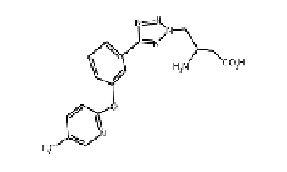 NC(CC(=O)O)Cn1nnc(-c2cccc(Oc3ccc(C(F)(F)F)cn3)c2)n1